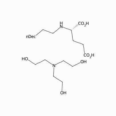 CCCCCCCCCCCCN[C@@H](CCC(=O)O)C(=O)O.OCCN(CCO)CCO